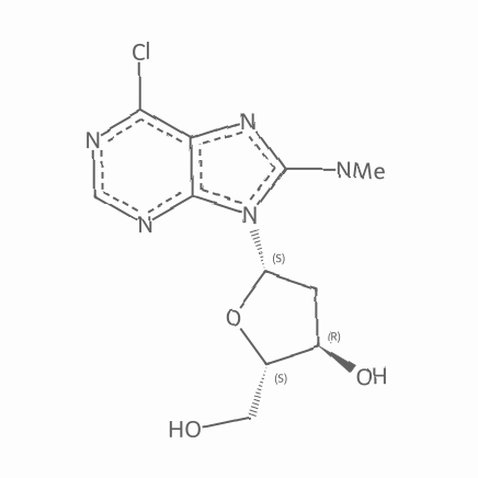 CNc1nc2c(Cl)ncnc2n1[C@@H]1C[C@@H](O)[C@H](CO)O1